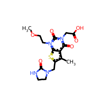 COCCn1c(=O)n(CC(=O)O)c(=O)c2c(C)c(CN3CCNC3=O)sc21